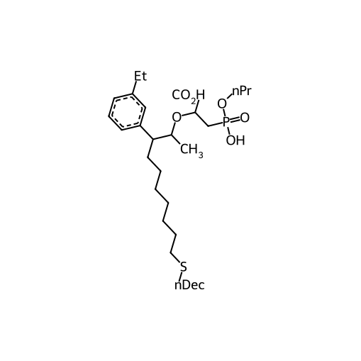 CCCCCCCCCCSCCCCCCCC(c1cccc(CC)c1)C(C)OC(CP(=O)(O)OCCC)C(=O)O